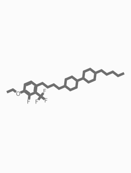 CCCCCC1CCC(C2CCC(CCCCc3ccc(OCC)c(F)c3C(F)(F)F)CC2)CC1